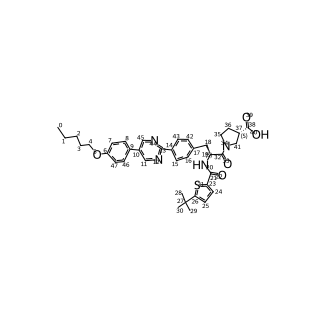 CCCCCOc1ccc(-c2cnc(-c3ccc(C[C@H](NC(=O)c4ccc(C(C)(C)C)s4)C(=O)N4CC[C@H](C(=O)O)C4)cc3)nc2)cc1